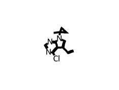 C=Cc1cn(C2(C)CC2)c2ncnc(Cl)c12